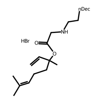 Br.C=CC(C)(CCC=C(C)C)OC(=O)CNCCCCCCCCCCCC